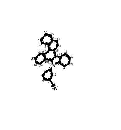 N#Cc1cccc(-n2c3ccccc3c3c4ccc5ccccc5c4c4ccccc4c32)c1